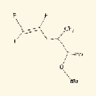 CC(C)(C)OC(=O)C(CC(F)=C(F)F)C(F)(F)F